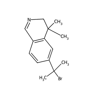 CC(C)(Br)c1ccc2c(c1)C(C)(C)CN=C2